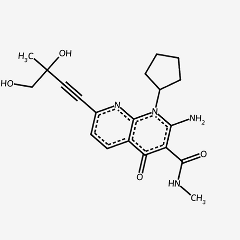 CNC(=O)c1c(N)n(C2CCCC2)c2nc(C#CC(C)(O)CO)ccc2c1=O